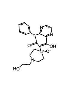 O=c1c([N+]2([O-])CCN(CCO)CC2)c(O)c2nccnc2n1-c1ccccc1